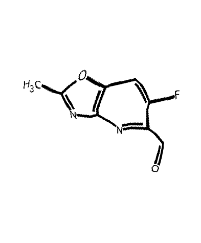 Cc1nc2nc(C=O)c(F)cc2o1